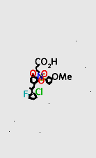 COc1cccc(S(=O)(=O)N2C[C@H](CCC(=O)O)Oc3ccc(/C=C(\C)c4c(F)cccc4Cl)cc32)c1